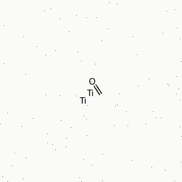 C=O.[Ti].[Ti]